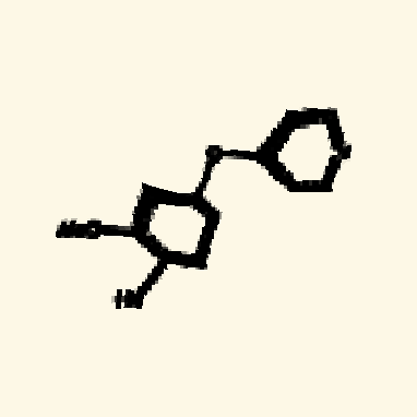 COc1cc(Oc2ccncc2)ccc1[NH]